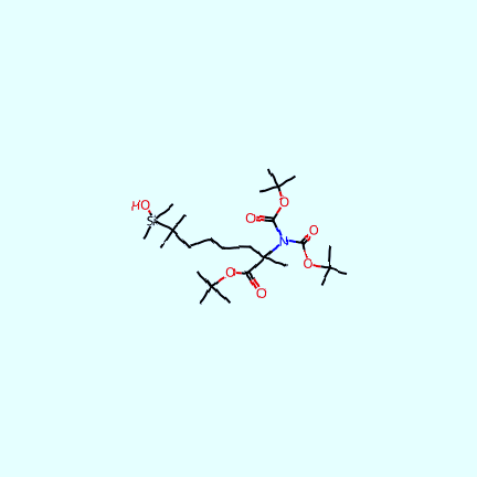 CC(C)(C)OC(=O)N(C(=O)OC(C)(C)C)C(C)(CCCCC(C)(C)[Si](C)(C)O)C(=O)OC(C)(C)C